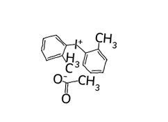 CC(=O)[O-].Cc1ccccc1[I+]c1ccccc1C